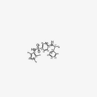 Cc1nn(C)c(C)c1NS(=O)(=O)c1ccc(NC(C)c2ccccc2)nc1